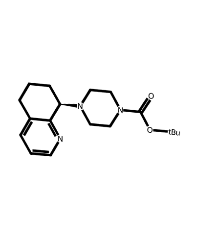 CC(C)(C)OC(=O)N1CCN([C@@H]2CCCc3cccnc32)CC1